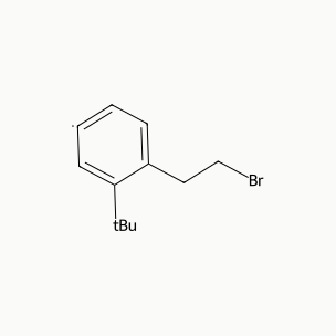 CC(C)(C)c1c[c]ccc1CCBr